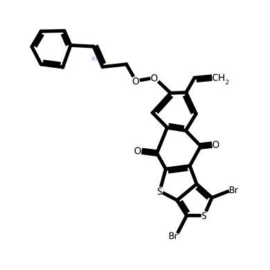 C=Cc1cc2c(cc1OOC/C=C/c1ccccc1)C(=O)c1sc3c(Br)sc(Br)c3c1C2=O